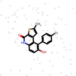 CCc1ccc(-c2c(O)ccc3[nH]c(=O)c4sc(C)cc4c23)cc1